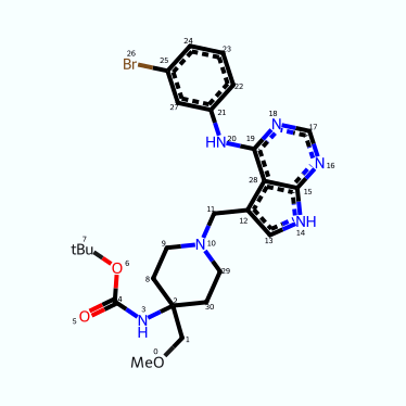 COCC1(NC(=O)OC(C)(C)C)CCN(Cc2c[nH]c3ncnc(Nc4cccc(Br)c4)c23)CC1